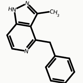 Cc1n[nH]c2ccnc(Cc3ccccc3)c12